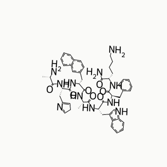 C[C@H](N)C(=O)N[C@@H](CC1=CCC=N1)C(=O)N[C@H](Cc1ccc2ccccc2c1)C(=O)N[C@@H](C)C(=O)N[C@@H](Cc1c[nH]c2ccccc12)C(=O)N[C@H](Cc1ccccc1)C(=O)N[C@@H](CCCCN)C(N)=O